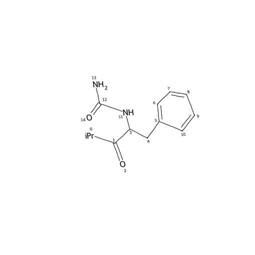 CC(C)C(=O)C(Cc1ccccc1)NC(N)=O